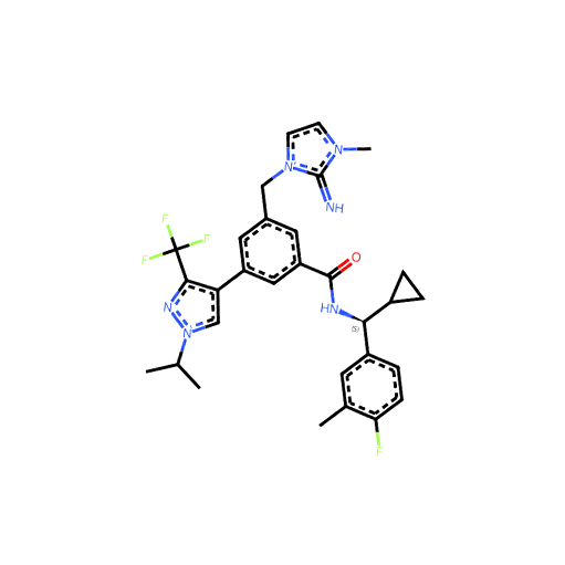 Cc1cc([C@@H](NC(=O)c2cc(Cn3ccn(C)c3=N)cc(-c3cn(C(C)C)nc3C(F)(F)F)c2)C2CC2)ccc1F